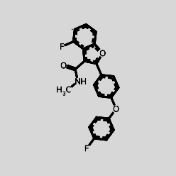 CNC(=O)c1c(-c2ccc(Oc3ccc(F)cc3)cc2)oc2cc[c]c(F)c12